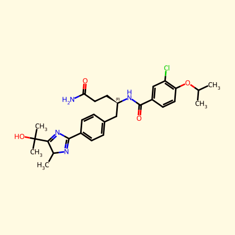 CC(C)Oc1ccc(C(=O)N[C@H](CCC(N)=O)Cc2ccc(C3=NC(C)C(C(C)(C)O)=N3)cc2)cc1Cl